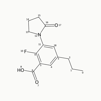 CCCc1cc(C(=O)O)c(F)c(N2CCCC2=O)c1